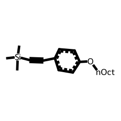 CCCCCCCCOc1ccc(C#C[Si](C)(C)C)cc1